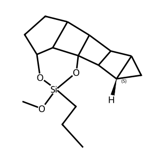 CCC[Si]1(OC)OC2CCC3C2C2(O1)C3C1C3C[C@@H]3C12